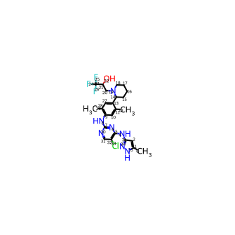 Cc1cc(Nc2nc(Nc3cc(C)c(C4CCCCN4C[C@H](O)C(F)(F)F)cc3C)ncc2Cl)n[nH]1